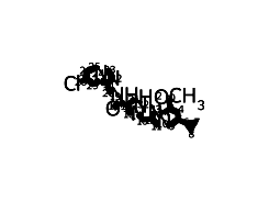 CC(O)c1cc(C2CC2)cn2cc(Cn3cc(C(=O)NCc4ncn5ccc(Cl)cc45)cn3)nc12